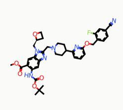 COC(=O)c1cc2c(cc1NC(=O)OC(C)(C)C)nc(CN1CCC(c3cccc(OCc4ccc(C#N)cc4F)n3)CC1)n2C[C@@H]1CCO1